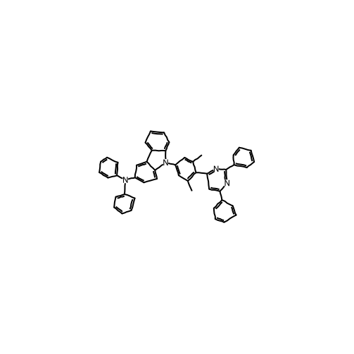 Cc1cc(-n2c3ccccc3c3cc(N(c4ccccc4)c4ccccc4)ccc32)cc(C)c1-c1cc(-c2ccccc2)nc(-c2ccccc2)n1